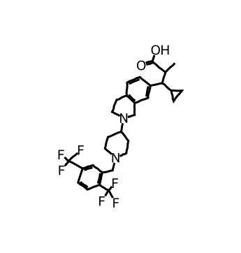 CC(C(=O)O)C(c1ccc2c(c1)CN(C1CCN(Cc3cc(C(F)(F)F)ccc3C(F)(F)F)CC1)CC2)C1CC1